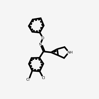 Clc1ccc(/C(=N/Oc2ccccc2)C2=C3CNCC32)cc1Cl